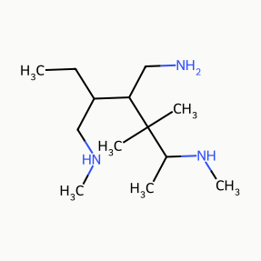 CCC(CNC)C(CN)C(C)(C)C(C)NC